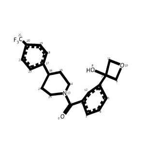 O=C(c1cccc(C2(O)COC2)c1)N1CCC(c2ccc(C(F)(F)F)cc2)CC1